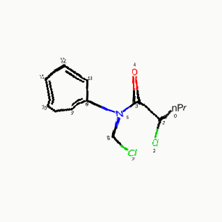 CCCC(Cl)C(=O)N(CCl)c1ccccc1